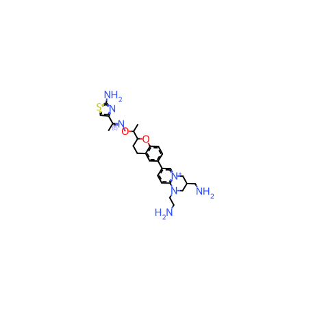 C/C(=N\OC(C)C1CCc2cc(-c3ccc4[n+](c3)CC(CN)CN4CCN)ccc2O1)c1csc(N)n1